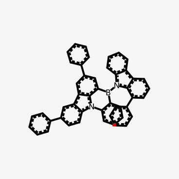 c1ccc(-c2ccc3c(c2)c2cc(-c4ccccc4)cc4c2n3-c2ccccc2B4n2c3ccccc3c3cccc(-c4ccccc4)c32)cc1